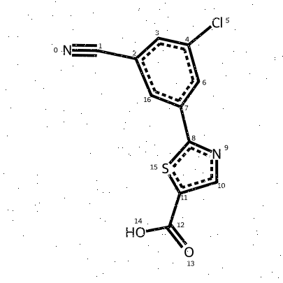 N#Cc1cc(Cl)cc(-c2ncc(C(=O)O)s2)c1